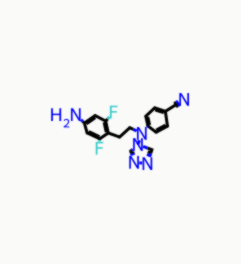 N#Cc1ccc(N(CCc2c(F)cc(N)cc2F)n2cnnc2)cc1